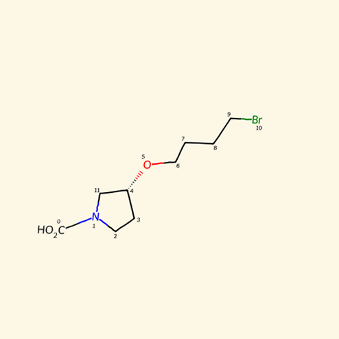 O=C(O)N1CC[C@@H](OCCCCBr)C1